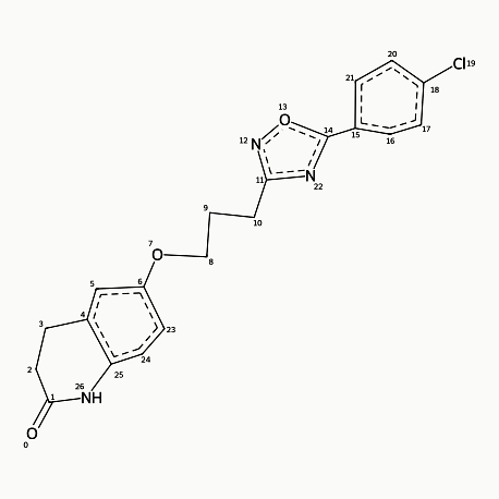 O=C1CCc2cc(OCCCc3noc(-c4ccc(Cl)cc4)n3)ccc2N1